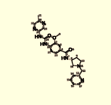 COc1cc(C(=O)N[C@@H]2CCN(Cc3ccccn3)C2)ccc1NC(=O)Nc1cnc(C)cn1